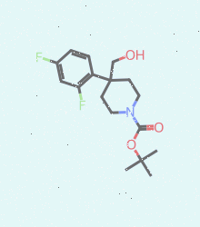 CC(C)(C)OC(=O)N1CCC(CO)(c2ccc(F)cc2F)CC1